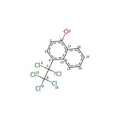 [O]c1ccc(C(Cl)(Cl)C(Cl)(Cl)Cl)c2ccccc12